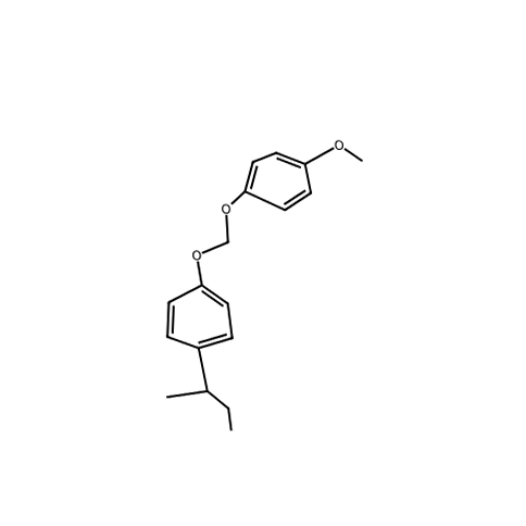 CCC(C)c1ccc(OCOc2ccc(OC)cc2)cc1